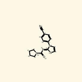 N#Cc1ccc(-n2ccsc2=NC(=O)N2CCCC2)cc1